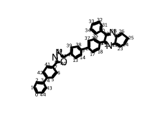 c1ccc(-c2ccc(-c3nnc(-c4ccc(-c5ccc(-c6nc7ccccc7nc6-c6ccccc6)cc5)cc4)o3)cc2)cc1